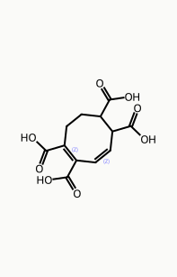 O=C(O)C1=C(\C(=O)O)CCC(C(=O)O)C(C(=O)O)/C=C\1